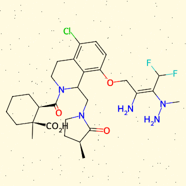 C[C@H]1CCN(CC2c3c(OC/C(N)=C(\C(F)F)N(C)N)ccc(Cl)c3CCN2C(=O)[C@@H]2CCCC[C@]2(C)C(=O)O)C1=O